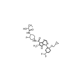 Cc1[nH]c2c(-c3cc(C(F)F)ccc3OCC3CC3)ncnc2c1C(=O)N[C@@H]1CC[C@@H](NC(=O)[C@H](C)O)[C@H](F)C1